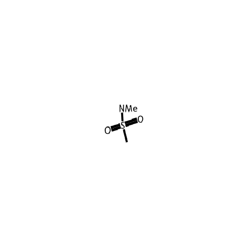 [CH2-][NH2+]S(C)(=O)=O